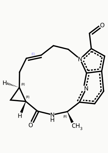 C[C@H]1NC(=O)[C@@H]2C[C@H]2C/C=C/CCn2c(C=O)cc3ccc1nc32